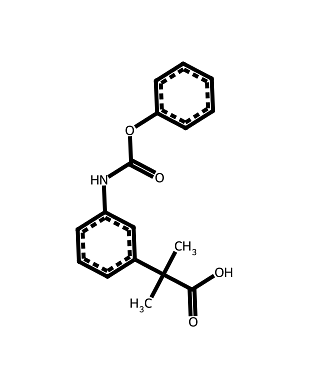 CC(C)(C(=O)O)c1cccc(NC(=O)Oc2ccccc2)c1